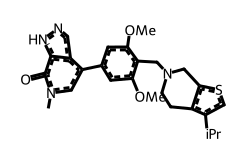 COc1cc(-c2cn(C)c(=O)c3[nH]ncc23)cc(OC)c1CN1CCc2c(C(C)C)csc2C1